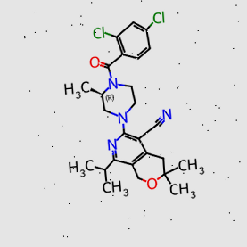 CC(C)c1nc(N2CCN(C(=O)c3ccc(Cl)cc3Cl)[C@H](C)C2)c(C#N)c2c1COC(C)(C)C2